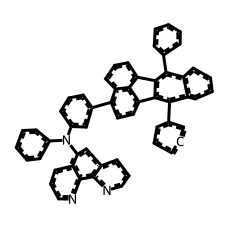 c1ccc(-c2c3c(c(-c4ccccc4)c4ccccc24)-c2ccc(-c4cccc(N(c5ccccc5)c5cc6cccnc6c6ncccc56)c4)c4cccc-3c24)cc1